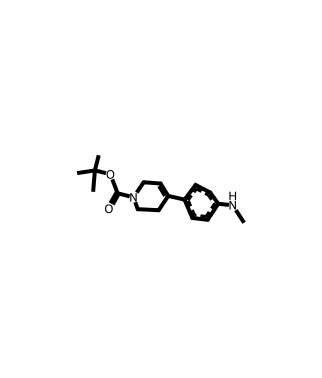 CNc1ccc(C2=CCN(C(=O)OC(C)(C)C)CC2)cc1